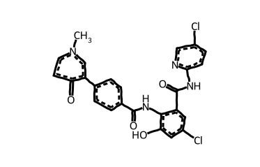 Cn1ccc(=O)c(-c2ccc(C(=O)Nc3c(O)cc(Cl)cc3C(=O)Nc3ccc(Cl)cn3)cc2)c1